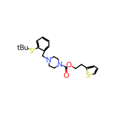 CC(C)(C)Sc1ccccc1CN1CCN(C(=O)OCCc2cccs2)CC1